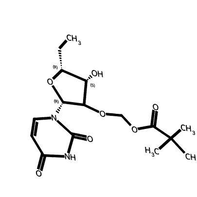 CC[C@H]1O[C@@H](n2ccc(=O)[nH]c2=O)C(OCOC(=O)C(C)(C)C)[C@H]1O